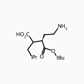 CC(C)CC(C(=O)O)[C@@H](CCN)C(=O)OC(C)(C)C